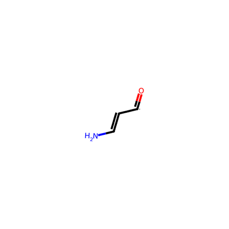 NC=C[C]=O